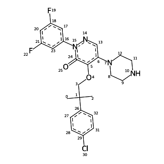 CC(C)(COc1c(N2CCNCC2)cnn(-c2cc(F)cc(F)c2)c1=O)c1ccc(Cl)cc1